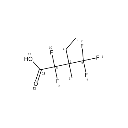 CCC(C)(C(F)(F)F)C(F)(F)C(=O)O